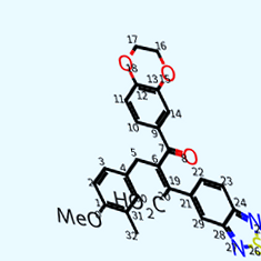 COc1ccc(C/C(C(=O)c2ccc3c(c2)OCCO3)=C(\C(=O)O)c2ccc3nsnc3c2)cc1C